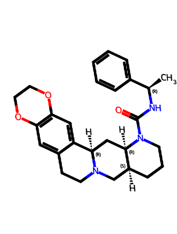 C[C@@H](NC(=O)N1CCC[C@H]2CN3CCc4cc5c(cc4[C@H]3C[C@H]21)OCCO5)c1ccccc1